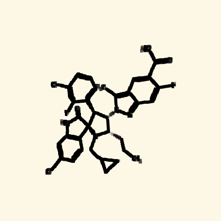 CCC[C@H]1[C@@H](n2nc3cc(F)c(C(=O)O)cc3c2C)[C@H](c2cccc(Cl)c2F)[C@]2(C(=O)Nc3cc(Cl)ccc32)N1CC1CC1